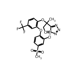 CCC(C)(Oc1ccc(C(F)(F)F)cc1Oc1ccc(S(C)(=O)=O)cc1Cl)c1nnn[nH]1